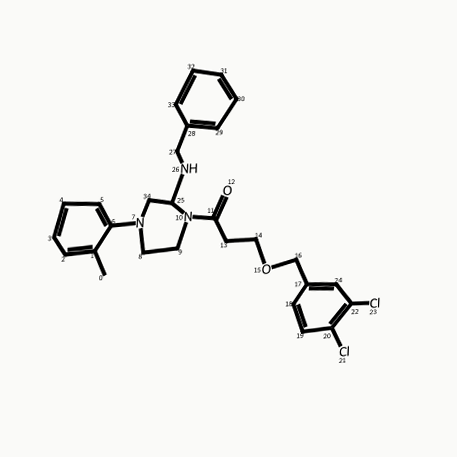 Cc1ccccc1N1CCN(C(=O)CCOCc2ccc(Cl)c(Cl)c2)C(NCc2ccccc2)C1